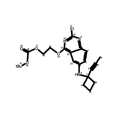 CC#CC1(Nc2ccc3nc(CC)nc(OCCOC(=O)OC(C)(C)C)c3c2)CCC1